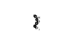 O=C(C1CCC(NC2CCOCC2)C1)N1CCC(c2cccc(C(F)(F)F)c2)CC1